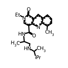 CCn1cc(C(=O)NC(C)CNC(C)C(C)C)c2nc3c(C)cccc3cc2c1=O